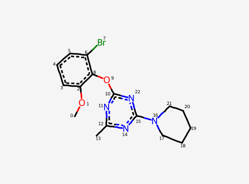 COc1c[c]cc(Br)c1Oc1nc(C)nc(N2CCCCC2)n1